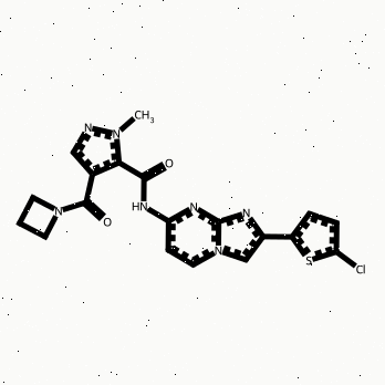 Cn1ncc(C(=O)N2CCC2)c1C(=O)Nc1ccn2cc(-c3ccc(Cl)s3)nc2n1